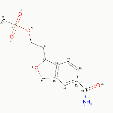 CS(=O)(=O)OCCC1OCc2cc(C(N)=O)ccc21